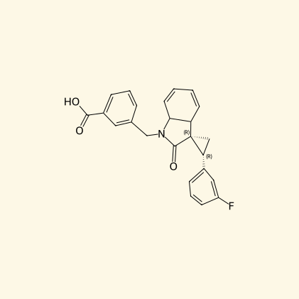 O=C(O)c1cccc(CN2C(=O)[C@@]3(C[C@@H]3c3cccc(F)c3)C3C=CC=CC32)c1